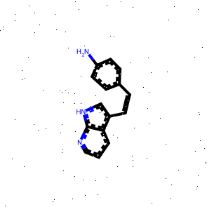 Nc1ccc(/C=C\c2c[nH]c3ncccc23)cc1